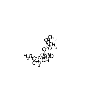 Bc1cc(CNC[C@@H](O)[C@H](Cc2ccccc2)NC(=O)c2cccc(C(=O)N(C)Cc3nc(C)cs3)c2)cc(C(F)(F)F)c1